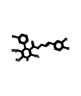 CC1=C(C(=O)O)C(c2cccc(Cl)c2)C(C(=O)OC/C=C/c2ccc(Cl)c(Cl)c2)=C(C)N1